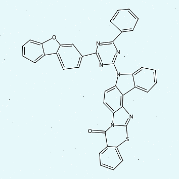 O=c1c2ccccc2sc2nc3c4c5ccccc5n(-c5nc(-c6ccccc6)nc(-c6ccc7c(c6)oc6ccccc67)n5)c4ccc3n12